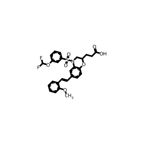 COc1ccccc1C=Cc1ccc2c(c1)N(S(=O)(=O)c1cccc(OC(F)F)c1)CC(CCC(=O)O)O2